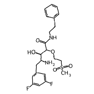 CS(=O)(=O)CCOC(C(=O)NCCc1ccccc1)C(O)C(N)Cc1cc(F)cc(F)c1